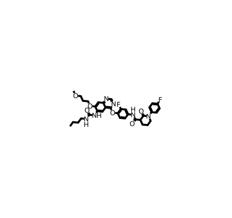 CCCCNC(=O)Nc1cc2c(Oc3ccc(NC(=O)C4CCCN(c5ccc(F)cc5)C4=O)cc3F)ncnc2cc1OCCCOC